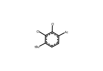 CC(=O)c1ccc(C(C)(C)C)c(Cl)c1Cl